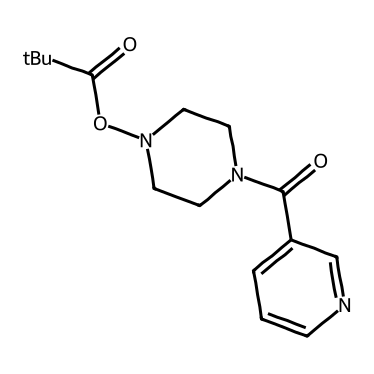 CC(C)(C)C(=O)ON1CCN(C(=O)c2cccnc2)CC1